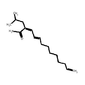 C=CCCCCCCC=CC=C(CC(C)C)C(N)=O